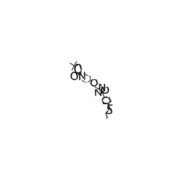 CCSc1ccc(-c2nc(COC3CCN(C(=O)OC(C)(C)C)CC3)no2)cc1